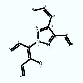 C=C/C(O)=C(\C=C)n1nc(C=C)c(/C=C\C)n1